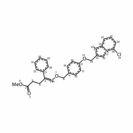 COC(=O)CCC(=NOCc1ccc(OCc2cn3c(Cl)cccc3n2)cc1)c1ccccc1